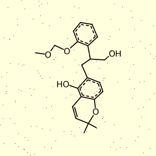 COCOc1ccccc1C(CO)Cc1ccc2c(c1O)C=CC(C)(C)O2